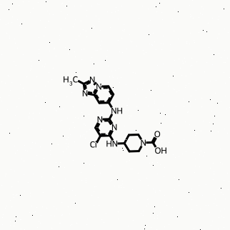 Cc1nc2cc(Nc3ncc(Cl)c(NC4CCN(C(=O)O)CC4)n3)ccn2n1